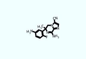 CC1(c2cc(N)ccc2F)Cn2c(C#N)cnc2C(N)=N1